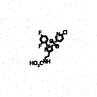 O=C(O)NCCc1cc(S(=O)(=O)c2ccc(Cl)nc2)n(-c2ccc(F)cc2F)n1